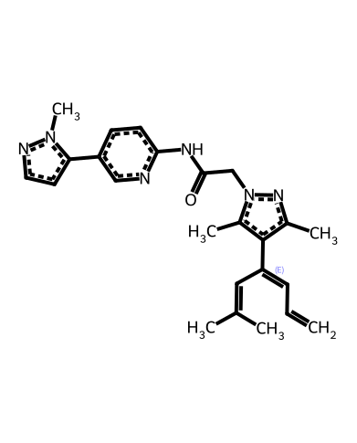 C=C/C=C(\C=C(C)C)c1c(C)nn(CC(=O)Nc2ccc(-c3ccnn3C)cn2)c1C